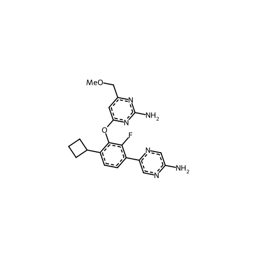 COCc1cc(Oc2c(C3CCC3)ccc(-c3cnc(N)cn3)c2F)nc(N)n1